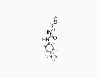 COCCNC(=O)Nc1ccc(C(C)(C)C)cc1